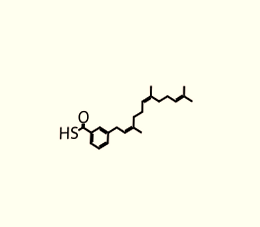 CC(C)=CCCC(C)=CCCC(C)=CCc1cccc(C(=O)S)c1